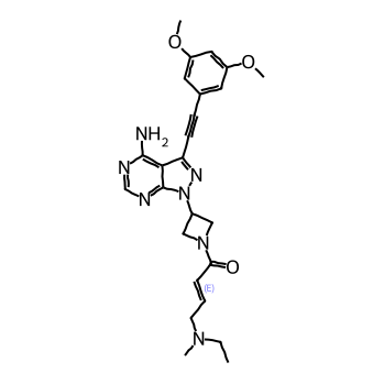 CCN(C)C/C=C/C(=O)N1CC(n2nc(C#Cc3cc(OC)cc(OC)c3)c3c(N)ncnc32)C1